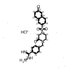 Cl.N=C(NN)c1ccc(CN2CCN(S(=O)(=O)c3ccc4cc(Cl)ccc4c3)CC2=O)cc1